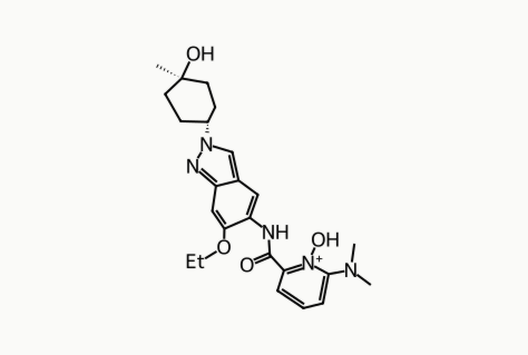 CCOc1cc2nn([C@H]3CC[C@](C)(O)CC3)cc2cc1NC(=O)c1cccc(N(C)C)[n+]1O